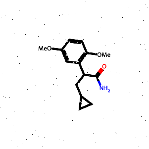 COc1ccc(OC)c(C(CC2CC2)C(N)=O)c1